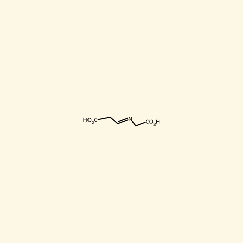 O=C(O)CC=NCC(=O)O